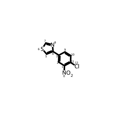 O=[N+]([O-])c1cc(-c2cscn2)ccc1Cl